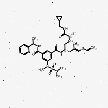 C=CS/C=C(\C)C[C@@H](CN[C@@H](CC)C(=O)NCC1CC1)NC(=O)c1cc(C(=O)NC(C)c2ccccn2)cc(N(C)S(=O)(=O)N(C)C)c1